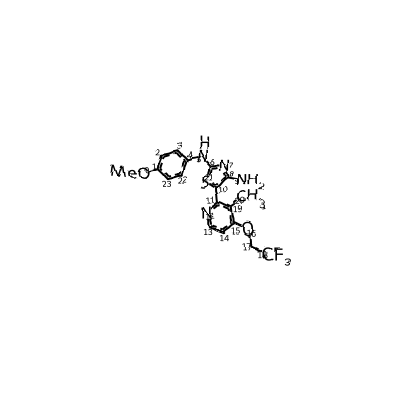 COc1ccc(Nc2nc(N)c(-c3nccc(OCC(F)(F)F)c3C)s2)cc1